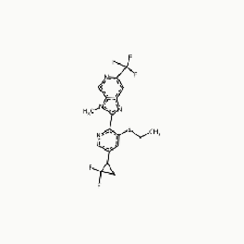 CCSc1cc(C2CC2(F)F)cnc1-c1nc2cc(C(F)(F)F)ncc2n1C